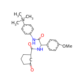 COc1ccc(C(NC(=O)C2CCCC(=O)C2)C(=O)Nc2ccc([Si](C)(C)C)cc2)cc1